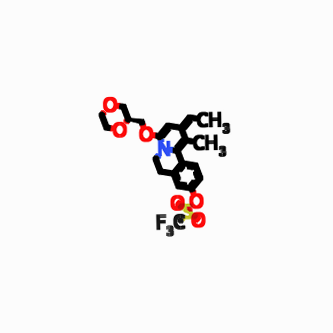 CC=C1C=C(OC[C@@H]2COCCO2)N2CCc3cc(OS(=O)(=O)C(F)(F)F)ccc3C2=C1C